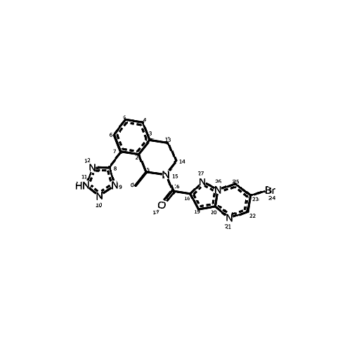 CC1c2c(cccc2-c2nn[nH]n2)CCN1C(=O)c1cc2ncc(Br)cn2n1